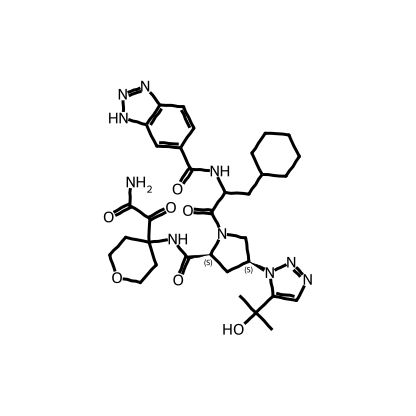 CC(C)(O)c1cnnn1[C@H]1C[C@@H](C(=O)NC2(C(=O)C(N)=O)CCOCC2)N(C(=O)C(CC2CCCCC2)NC(=O)c2ccc3nn[nH]c3c2)C1